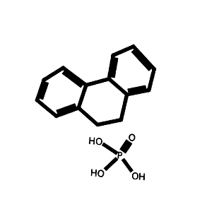 O=P(O)(O)O.c1ccc2c(c1)CCc1ccccc1-2